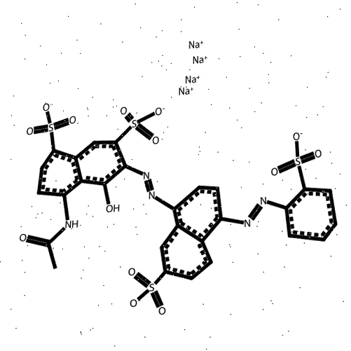 CC(=O)Nc1ccc(S(=O)(=O)[O-])c2cc(S(=O)(=O)[O-])c(N=Nc3ccc(N=Nc4ccccc4S(=O)(=O)[O-])c4ccc(S(=O)(=O)[O-])cc34)c(O)c12.[Na+].[Na+].[Na+].[Na+]